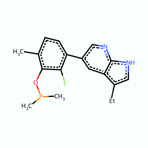 CCc1c[nH]c2ncc(-c3ccc(C)c(OP(C)C)c3F)cc12